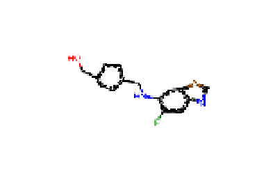 OCc1ccc(CNc2cc3scnc3cc2F)cc1